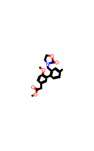 COC(=O)Cc1ccc(OC)c(-c2ccc(C)cc2CN2CCOC2=O)c1